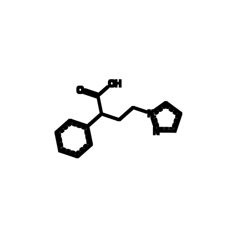 O=C(O)C(CCn1cccn1)c1ccccc1